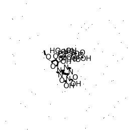 CCOC[C@H]1O[C@@H](n2cnc3c(N(C(=O)O)C(=O)O)ncnc32)[C@H](O)[C@@H]1OP(=O)(O)OP(=O)(O)OP(=O)(O)OP(=O)(O)O